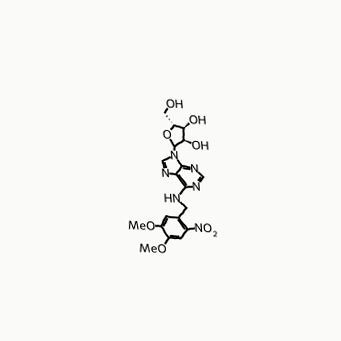 COc1cc(CNc2ncnc3c2ncn3C2O[C@H](CO)[C@@H](O)[C@H]2O)c([N+](=O)[O-])cc1OC